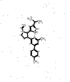 Cc1ccc(-c2cc(C)nc(C3CCN(C=O)C3c3cc(C(C)C)n[nH]3)c2)cc1